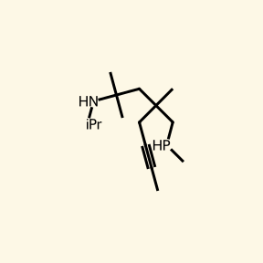 CC#CCC(C)(CPC)CC(C)(C)NC(C)C